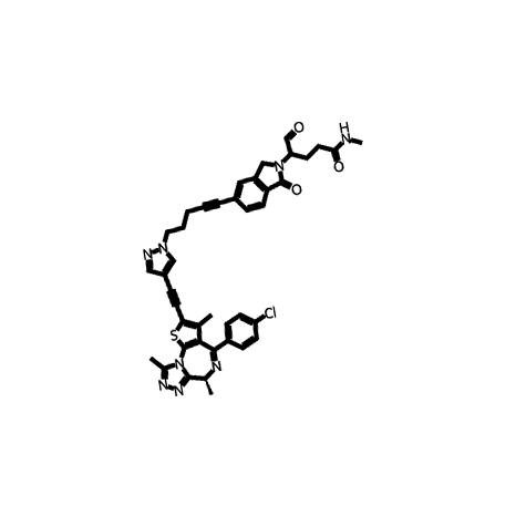 CNC(=O)CCC(C=O)N1Cc2cc(C#CCCCn3cc(C#Cc4sc5c(c4C)C(c4ccc(Cl)cc4)=N[C@@H](C)c4nnc(C)n4-5)cn3)ccc2C1=O